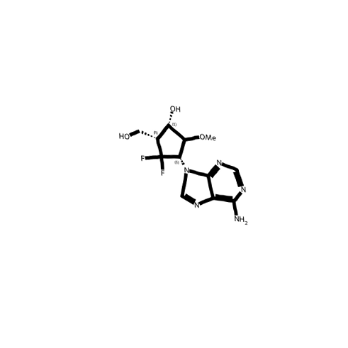 COC1[C@@H](O)[C@@H](CO)C(F)(F)[C@H]1n1cnc2c(N)ncnc21